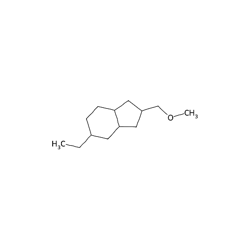 CCC1CCC2CC(COC)CC2C1